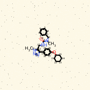 CN(Cc1ccccc1)C(=O)NCc1c(-c2ccc(OC3CCCCC3)cc2)nnn1C